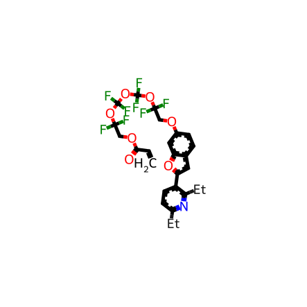 C=CC(=O)OCC(F)(F)OC(F)(F)OC(F)(F)OC(F)(F)COc1ccc2cc(-c3ccc(CC)nc3CC)oc2c1